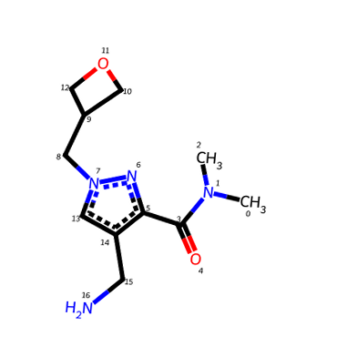 CN(C)C(=O)c1nn(CC2COC2)cc1CN